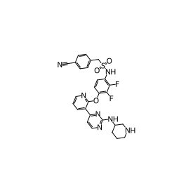 N#Cc1ccc(CS(=O)(=O)Nc2ccc(Oc3ncccc3-c3ccnc(NC4CCCNC4)n3)c(F)c2F)cc1